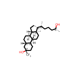 C[C@H](CCC[C@@H](C)O)[C@H]1CC[C@H]2[C@@H]3CC[C@H]4C[C@](O)(C(F)(F)F)CC[C@@H]4[C@H]3CC[C@]12C